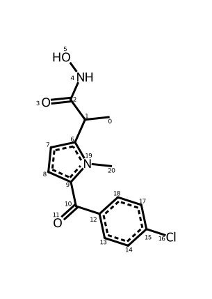 CC(C(=O)NO)c1ccc(C(=O)c2ccc(Cl)cc2)n1C